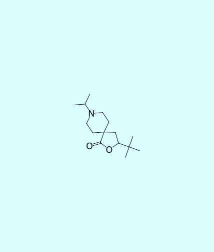 CC(C)N1CCC2(CC1)CC(C(C)(C)C)OC2=O